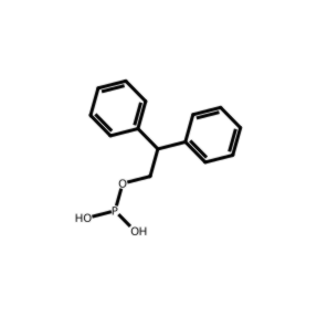 OP(O)OCC(c1ccccc1)c1ccccc1